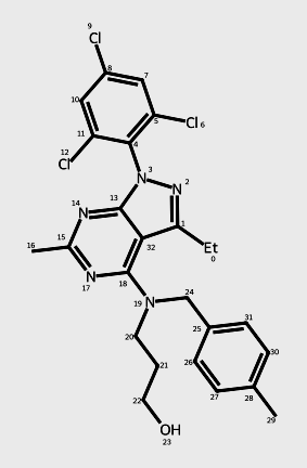 CCc1nn(-c2c(Cl)cc(Cl)cc2Cl)c2nc(C)nc(N(CCCO)Cc3ccc(C)cc3)c12